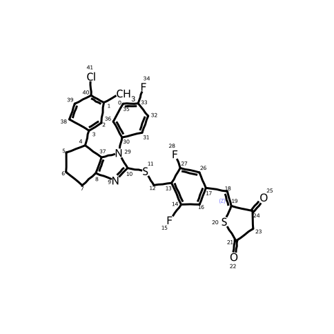 Cc1cc(C2CCCc3nc(SCc4c(F)cc(/C=C5\SC(=O)CC5=O)cc4F)n(-c4ccc(F)cc4)c32)ccc1Cl